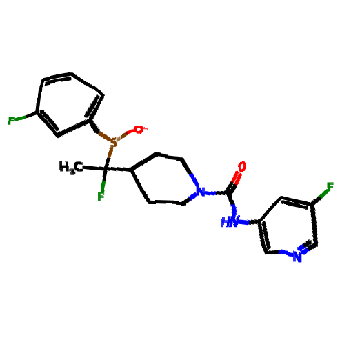 CC(F)(C1CCN(C(=O)Nc2cncc(F)c2)CC1)[S+]([O-])c1cccc(F)c1